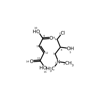 CN(C)CC(O)CCl.O=C(O)C=CC(=O)O